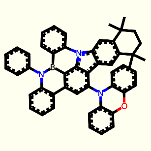 CC1(C)CCC(C)(C)c2cc3c(cc21)c1c(N2c4ccccc4Oc4ccccc42)cc2c4c1n3-c1ccccc1B4N(c1ccccc1)c1ccccc1-2